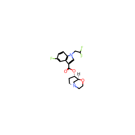 O=C(O[C@H]1CC[N@@]2CCO[C@H]1C2)c1cn(CC(F)F)c2ccc(F)cc12